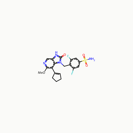 COc1ncc2[nH]c(=O)n(Cc3c(F)cc(S(N)(=O)=O)cc3F)c2c1C1=CCCC1